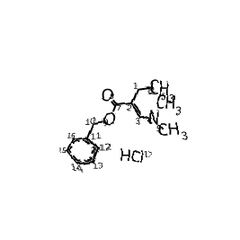 CCC(=CN(C)C)C(=O)OCc1ccccc1.Cl